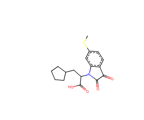 CSc1ccc2c(c1)N(C(CC1CCCC1)C(=O)O)C(=O)C2=O